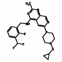 Cc1nc(NCc2cccc(C(F)F)c2F)c2cc(P3CCN(SC4CC4)CC3)ncc2n1